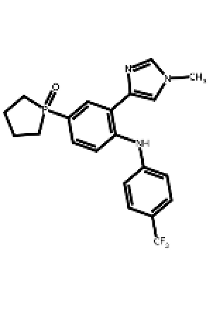 Cn1cnc(-c2cc(P3(=O)CCCC3)ccc2Nc2ccc(C(F)(F)F)cc2)c1